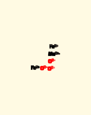 [Fe+2].[Fe+2].[Mn+2].[O-2].[O-2].[O-2]